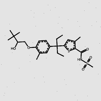 CCC(CC)(c1ccc(OCC(O)C(C)(C)C)c(C)c1)c1cc(C)c(C(=O)NS(C)(=O)=O)s1